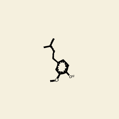 COc1cc(CCC(C)C)ccc1O